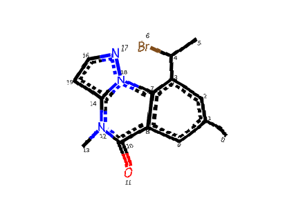 Cc1cc(C(C)Br)c2c(c1)c(=O)n(C)c1ccnn21